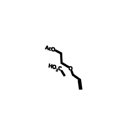 C=CCOCCOC(C)=O.CC(=O)O